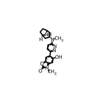 CN(c1ccc(-c2cc3oc(=O)n(C)c3cc2O)nn1)[C@H]1CC2CC[C@H](C1)N2